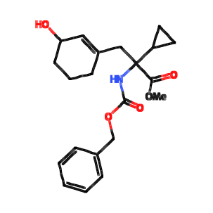 COC(=O)C(CC1=CC(O)CCC1)(NC(=O)OCc1ccccc1)C1CC1